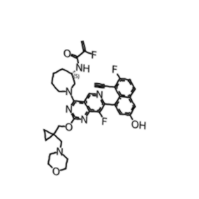 C#Cc1c(F)ccc2cc(O)cc(-c3ncc4c(N5CCCC[C@H](NC(=O)C(=C)F)C5)nc(OCC5(CN6CCOCC6)CC5)nc4c3F)c12